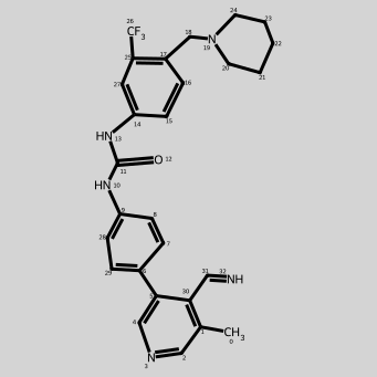 Cc1cncc(-c2ccc(NC(=O)Nc3ccc(CN4CCCCC4)c(C(F)(F)F)c3)cc2)c1C=N